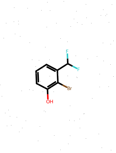 Oc1cccc(C(F)F)c1Br